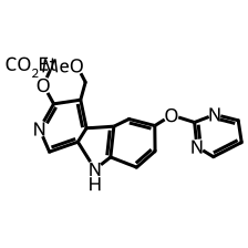 CCOC(=O)Oc1ncc2[nH]c3ccc(Oc4ncccn4)cc3c2c1COC